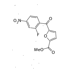 COC(=O)c1ccc(C(=O)c2ccc([N+](=O)[O-])cc2F)o1